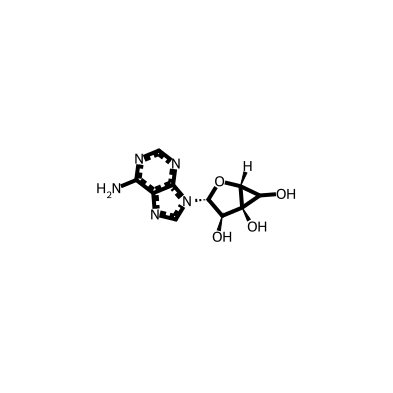 Nc1ncnc2c1ncn2[C@@H]1O[C@@H]2C(O)[C@]2(O)[C@H]1O